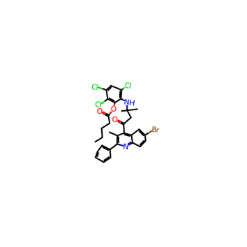 CCCCC(=O)Oc1c(Cl)c(Cl)cc(Cl)c1NC(C)(C)CC(=O)c1c(C)c(-c2ccccc2)nc2ccc(Br)cc12